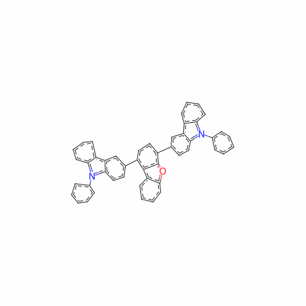 c1ccc(-n2c3ccccc3c3cc(-c4ccc(-c5ccc6c(c5)c5ccccc5n6-c5ccccc5)c5c4oc4ccccc45)ccc32)cc1